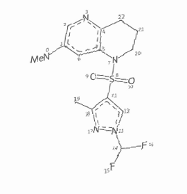 CNc1cnc2c(c1)N(S(=O)(=O)c1cn(C(F)F)nc1C)CCC2